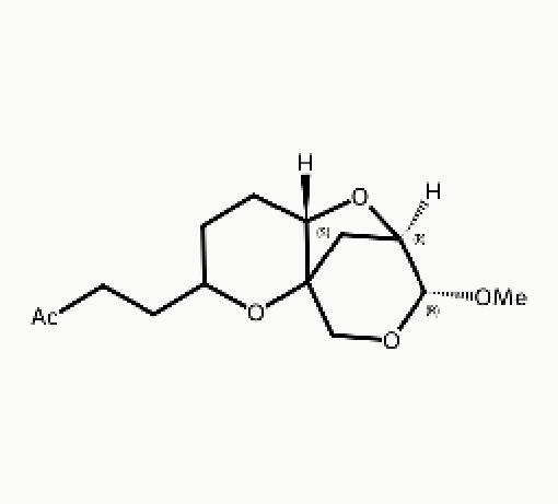 CO[C@@H]1OCC23C[C@H]1O[C@H]2CCC(CCC(C)=O)O3